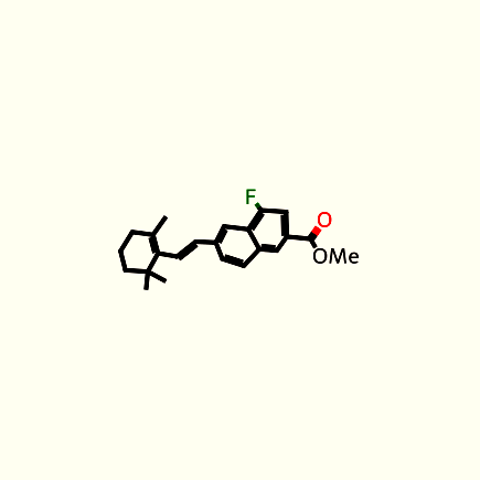 COC(=O)c1cc(F)c2cc(/C=C/C3=C(C)CCCC3(C)C)ccc2c1